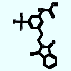 O=C(O)Nc1cc(CCN2C(=O)c3ccccc3C2=O)cc(C(F)(F)F)c1